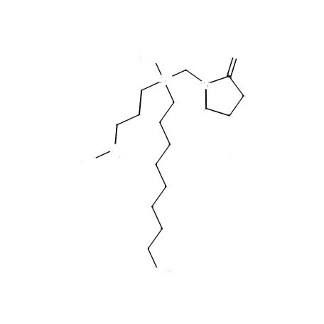 CCCCCCCCCCCCCCCCCC[N+](C)(CCCOCCCCCCCC)CN1CCCC1=O.[Cl-]